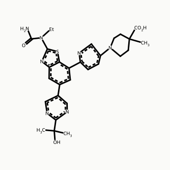 CCN(C(N)=O)c1nc2cc(-c3cnc(C(C)(C)O)nc3)cc(-c3ccc(N4CCC(C)(C(=O)O)CC4)cn3)c2s1